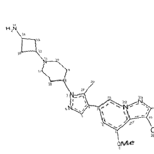 COc1cc(-c2cnn(C3CCN(C4CC(N)C4)CC3)c2C)cn2ncc(C#N)c12